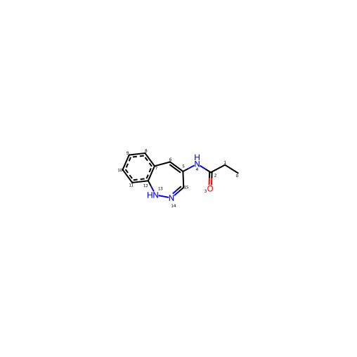 CCC(=O)NC1=Cc2ccccc2NN=C1